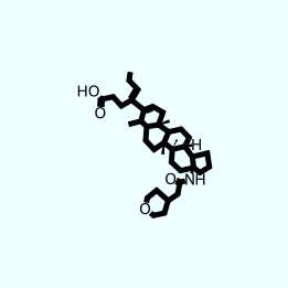 CC/C=C(\CCC(=O)O)C1=CC[C@@]2(C)C(CC[C@]3(C)C2CC[C@@H]2C4CCC[C@]4(NC(=O)CC4CCOCC4)CC[C@]23C)C1C